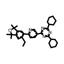 CCc1cc2c(cc1-c1ccc(-c3nc(C4CCCCC4)nc(C4CCCCC4)n3)cn1)C(C)(C)OC2(C)C